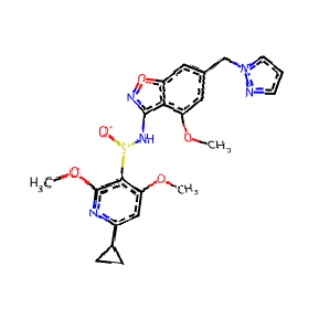 COc1cc(C2CC2)nc(OC)c1[S+]([O-])Nc1noc2cc(Cn3cccn3)cc(OC)c12